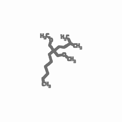 CCCCCCC(CCC(C)C)(COC)COC